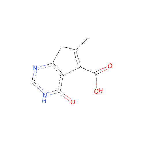 CC1=C(C(=O)O)c2c(nc[nH]c2=O)C1